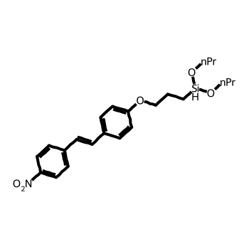 CCCO[SiH](CCCOc1ccc(C=Cc2ccc([N+](=O)[O-])cc2)cc1)OCCC